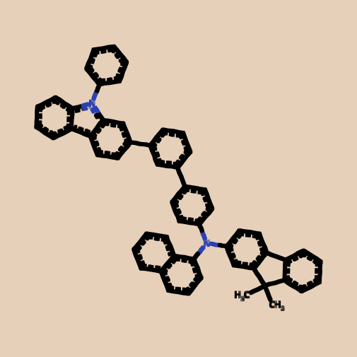 CC1(C)c2ccccc2-c2ccc(N(c3ccc(-c4cccc(-c5ccc6c7ccccc7n(-c7ccccc7)c6c5)c4)cc3)c3cccc4ccccc34)cc21